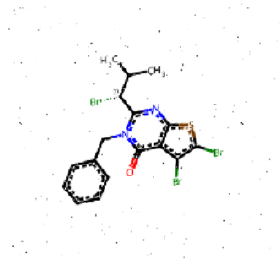 CC(C)[C@@H](Br)c1nc2sc(Br)c(Br)c2c(=O)n1Cc1ccccc1